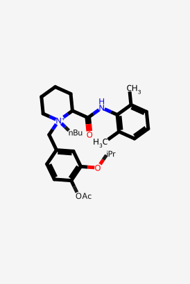 CCCC[N+]1(Cc2ccc(OC(C)=O)c(OC(C)C)c2)CCCCC1C(=O)Nc1c(C)cccc1C